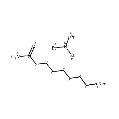 CCCCCCCCCCCCCCCCCC(N)=O.CCCN(CC)CC